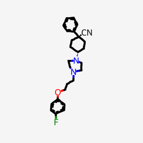 N#C[C@]1(c2ccccc2)CC[C@@H](N2CCN(CCCOc3ccc(F)cc3)CC2)CC1